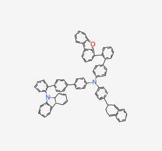 C1=CC2c3ccccc3N(c3ccccc3-c3ccc(-c4ccc(N(c5ccc(-c6ccccc6-c6cccc7c6oc6ccccc67)cc5)c5ccc(C6C=c7ccccc7=CC6)cc5)cc4)cc3)C2C=C1